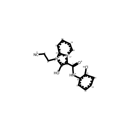 N#CCCn1c(O)c(C(=O)Nc2ccccc2Cl)[n+]2ccccc12